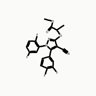 COC(=O)C(C)Oc1nn(-c2cc(F)ccc2F)c(-c2ccc(F)c(F)c2)c1C#N